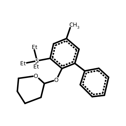 CCS(CC)(CC)c1cc(C)cc(-c2ccccc2)c1OC1CCCCO1